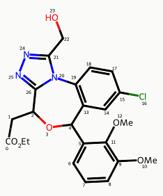 CCOC(=O)CC1OC(c2cccc(OC)c2OC)c2cc(Cl)ccc2-n2c(CO)nnc21